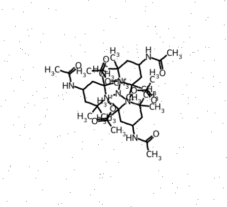 CC(=O)NC1CC(C)(C)[N+](OC(C)=O)(N([N+]2(OC(C)=O)C(C)(C)CC(NC(C)=O)CC2(C)C)[N+]2(OC(C)=O)C(C)(C)CC(NC(C)=O)CC2(C)C)C(C)(C)C1